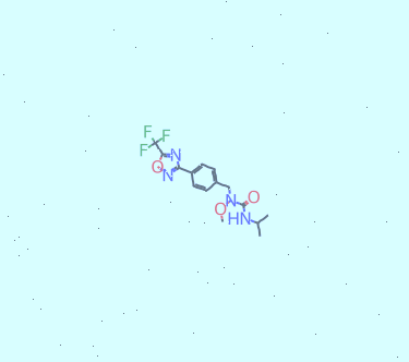 CON(Cc1ccc(-c2noc(C(F)(F)F)n2)cc1)C(=O)NC(C)C